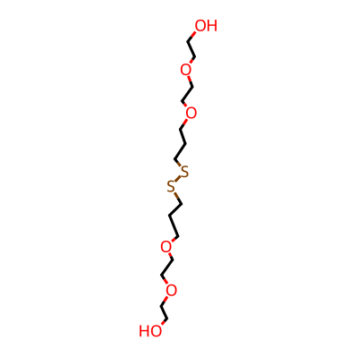 OCCOCCOCCCSSCCCOCCOCCO